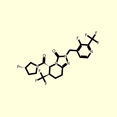 O=C([C@H]1[C@H](C(F)(F)F)CCc2nn(Cc3ccnc(C(F)(F)F)c3F)c(=O)n21)N1CC[C@H](F)C1